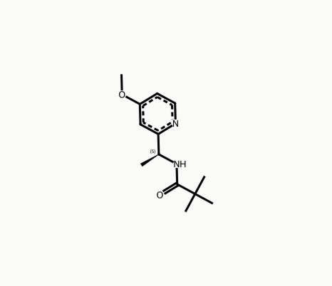 COc1ccnc([C@H](C)NC(=O)C(C)(C)C)c1